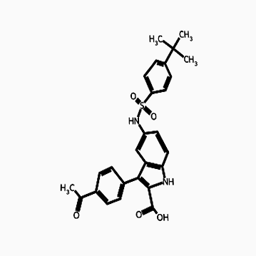 CC(=O)c1ccc(-c2c(C(=O)O)[nH]c3ccc(NS(=O)(=O)c4ccc(C(C)(C)C)cc4)cc23)cc1